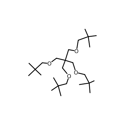 CC(C)(C)COCC(COCC(C)(C)C)(COCC(C)(C)C)COCC(C)(C)C